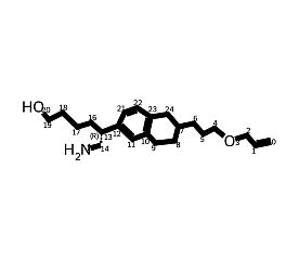 C=CCOCCCC1CCc2cc([C@H](CN)CCCCO)ccc2C1